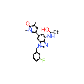 CC[C@H](O)Nc1cc(-c2cc(C)c(=O)n(C)c2)cc2c1ncn2Cc1cccc(F)c1